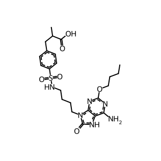 CCCCOc1nc(N)c2[nH]c(=O)n(CCCCNS(=O)(=O)c3ccc(CC(C)C(=O)O)cc3)c2n1